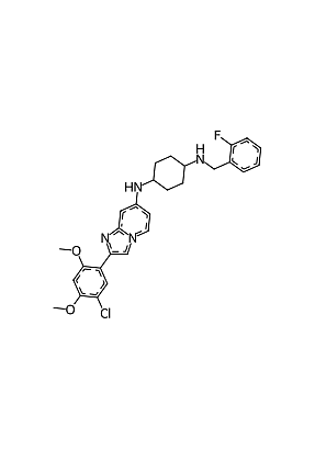 COc1cc(OC)c(-c2cn3ccc(NC4CCC(NCc5ccccc5F)CC4)cc3n2)cc1Cl